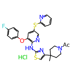 CC(=O)N1CCC(C)(c2csc(Nc3ncc(Sc4ccccn4)cc3Oc3ccc(F)cc3)n2)CC1.Cl